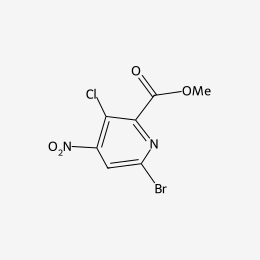 COC(=O)c1nc(Br)cc([N+](=O)[O-])c1Cl